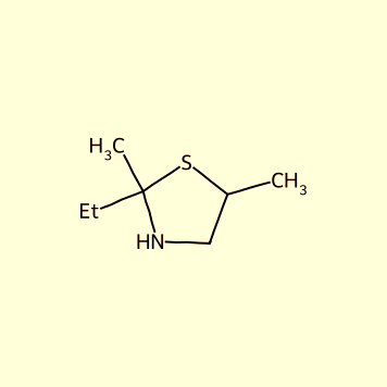 CCC1(C)NCC(C)S1